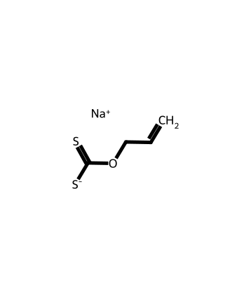 C=CCOC(=S)[S-].[Na+]